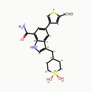 NC(=O)c1cc(-c2csc(C=O)c2)cc2c(CC3CCS(O)(O)CC3)c[nH]c12